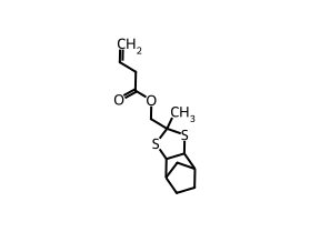 C=CCC(=O)OCC1(C)SC2C3CCC(C3)C2S1